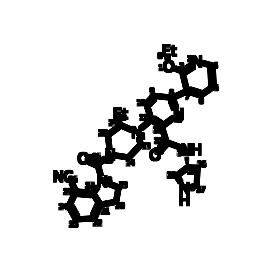 CCOc1ncccc1-c1ccc(N2CCN(C(=O)N3CCc4cccc(C#N)c43)C[C@H]2CC)c(C(=O)N[C@@H]2CCNC2)n1